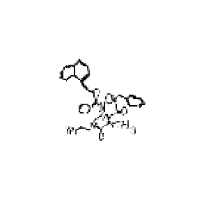 CC(C)CCN1CC2N(C(=O)OCc3cccc4ccccc34)O[C@H](Cc3ccccc3)C(=O)N2[C@@H](C)C1=O